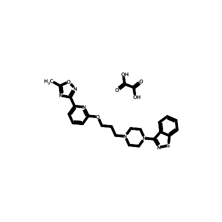 Cc1nc(-c2cccc(OCCCN3CCN(c4nsc5ccccc45)CC3)n2)no1.O=C(O)C(=O)O